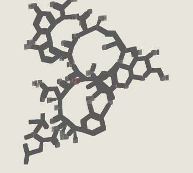 C=C/C1=C(Cl)\C=C\[C@@H](O)[C@@H]2NC(=O)[C@H](NC(=O)[C@@H]3NC(=O)[C@H](CC(N)=O)NC(=O)[C@H](NC(=O)[C@@H](CC(C)C)N(C)C(C)(C)C)[C@H](O)c4ccc(c(Cl)c4)Oc4cc3cc(c4OC3OC(CO)C(O)C(O)C3OC3CC(C)(NC)C(O)C(C)O3)O1)c1ccc(O)c(c1)-c1c(O)cc(O)cc1C(C(=O)O)NC2=O